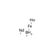 B.[Fe].[Ho].[Nd]